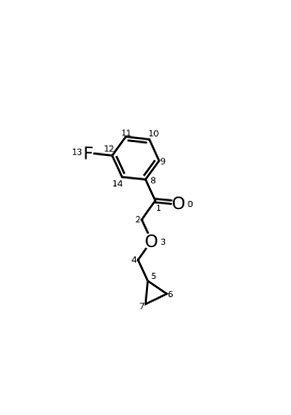 O=C(COCC1CC1)c1cccc(F)c1